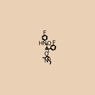 CCn1cc(OC[C@@]2(c3cccc(F)c3)C[C@H]2C(=O)Nc2ccc(F)cc2)c(C)n1